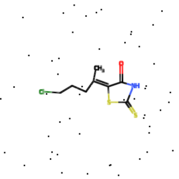 C/C(CCCCl)=C1/SC(=S)NC1=O